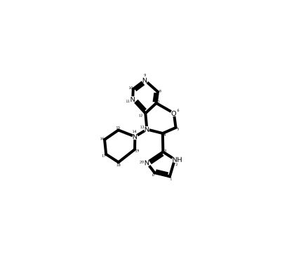 c1c[nH]c(C2COc3cncnc3N2N2CCCCC2)n1